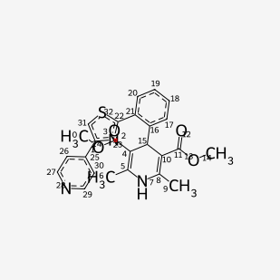 COC(=O)C1=C(C)NC(C)=C(C(=O)OC)C1c1ccccc1-c1nc(-c2ccncc2)cs1